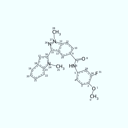 COc1ccc(NC(=O)c2ccc3c(c2)c(-c2cc4ccccc4n2C)nn3C)cc1F